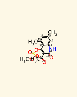 COS(=O)(=O)Oc1c(C(C)=O)c(=O)[nH]c2cc(C)cc(C)c12